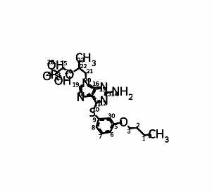 CCCCOc1cccc(Sc2nc(N)nc3c2ncn3CC(C)OCP(=O)(O)O)c1